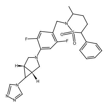 CC1CCC(c2ccccc2)S(=O)(=O)N1Cc1cc(F)c(N2C[C@@H]3C(n4cnnc4)[C@@H]3C2)cc1F